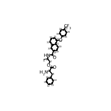 C[C@H](COC(=O)[C@@H](N)Cc1ccccc1)NC(=O)c1ccc2c(Oc3ccc(C(F)(F)F)cc3)cccc2c1